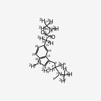 [2H]c1c(CC([2H])([2H])N(C)C([2H])([2H])[2H])c2cc(C([2H])([2H])S(=O)(=O)N([2H])C([2H])([2H])[2H])ccc2n1[2H]